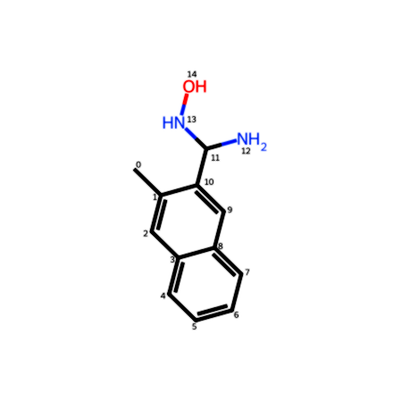 Cc1cc2ccccc2cc1C(N)NO